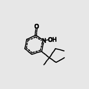 CCC(C)(CC)c1cccc(=O)n1O